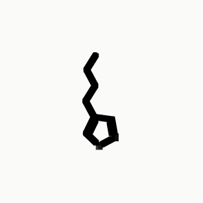 CCCCC1=C[N]N=C1